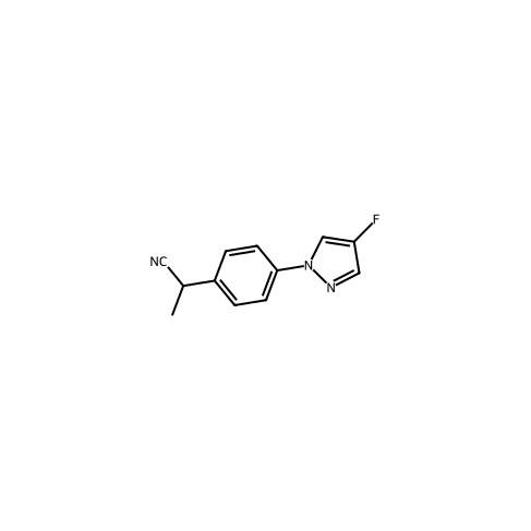 CC(C#N)c1ccc(-n2cc(F)cn2)cc1